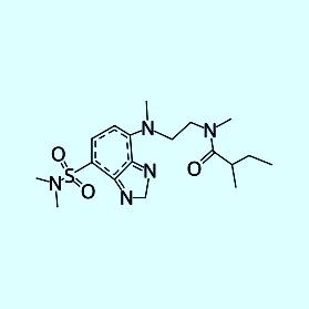 CCC(C)C(=O)N(C)CCN(C)c1ccc(S(=O)(=O)N(C)C)c2c1=NCN=2